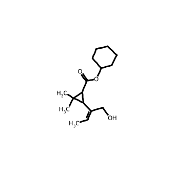 C/C=C(/CO)C1C(C(=O)OC2CCCCC2)C1(C)C